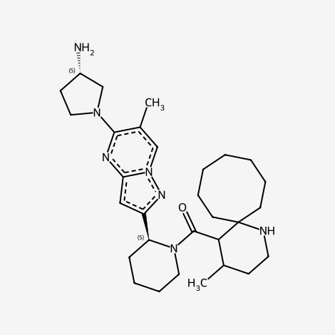 Cc1cn2nc([C@@H]3CCCCN3C(=O)C3C(C)CCNC34CCCCCCC4)cc2nc1N1CC[C@H](N)C1